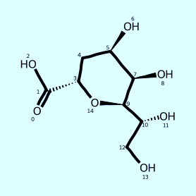 O=C(O)[C@@H]1C[C@@H](O)[C@@H](O)[C@@H]([C@H](O)CO)O1